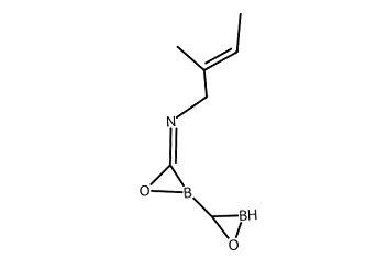 C/C=C(\C)C/N=C1/OB1C1BO1